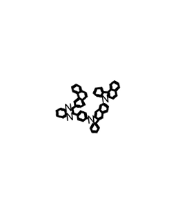 c1ccc2c(c1)ccc1ccc(-c3nc4ccccc4nc3-c3ccc(-n4c5ccccc5c5cc6ccc(-n7c8ccccc8c8c9ccccc9ccc87)cc6cc54)cc3)cc12